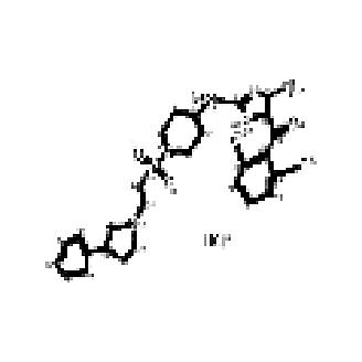 Cl.Nc1nc(NC2CCN(S(=O)(=O)CCN3CCC(c4ccccc4)C3)CC2)sc1C(=O)c1c(F)cccc1F